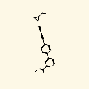 COC(=O)c1cc(-c2ccc(C#CC#C[C@@H]3CC3CO)cc2)ccn1